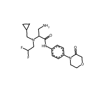 NCC(C(=O)Nc1ccc(N2CCOCC2=O)cc1)N(CC(F)F)CC1CC1